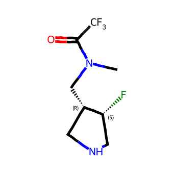 CN(C[C@H]1CNC[C@H]1F)C(=O)C(F)(F)F